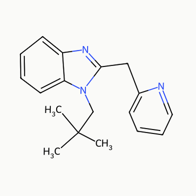 CC(C)(C)Cn1c(Cc2ccccn2)nc2ccccc21